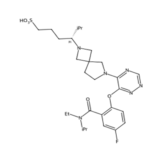 CCN(C(=O)c1cc(F)ccc1Oc1nncnc1N1CCC2(C1)CN([C@H](CCCS(=O)(=O)O)C(C)C)C2)C(C)C